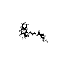 CCc1nn(CCCOC(=O)c2cnn(C)c2)c2c1C(=O)NCC1(CCOCC1)C2